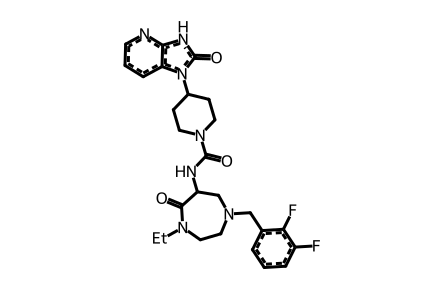 CCN1CCN(Cc2cccc(F)c2F)CC(NC(=O)N2CCC(n3c(=O)[nH]c4ncccc43)CC2)C1=O